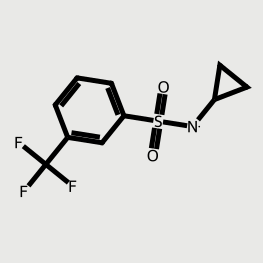 O=S(=O)([N]C1CC1)c1cccc(C(F)(F)F)c1